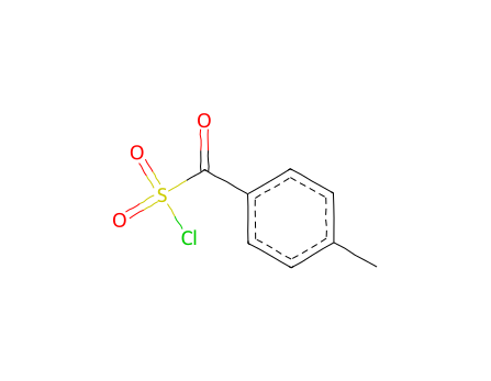 Cc1ccc(C(=O)S(=O)(=O)Cl)cc1